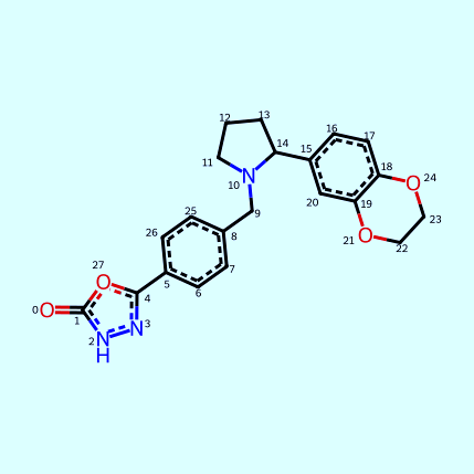 O=c1[nH]nc(-c2ccc(CN3CCCC3c3ccc4c(c3)OCCO4)cc2)o1